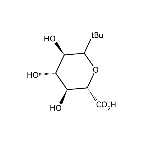 CC(C)(C)C1O[C@H](C(=O)O)[C@@H](O)[C@H](O)[C@H]1O